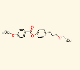 CCCCCCCCCCOc1ccc(C(=O)Oc2ccc(CCCOC[C@@H](C)CC)cc2)cc1